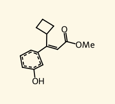 COC(=O)C=C(c1cccc(O)c1)C1CCC1